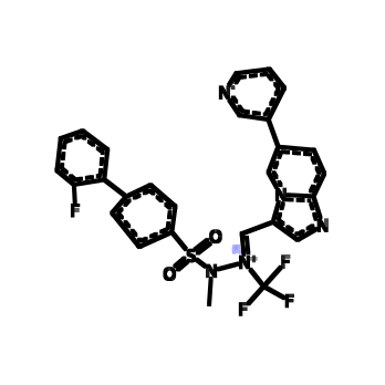 CN(/[N+](=C/c1cnc2ccc(-c3cccnc3)cn12)C(F)(F)F)S(=O)(=O)c1ccc(-c2ccccc2F)cc1